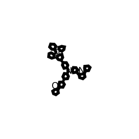 c1ccc([Si](c2ccccc2)(c2ccccc2)c2ccc(-c3ccc(N(c4ccc(-c5ccc6c(c5)oc5ccccc56)cc4)c4ccc5c(c4)c4cccc6c7ccccc7n5c64)cc3)cc2)cc1